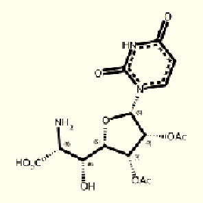 CC(=O)O[C@H]1[C@@H](OC(C)=O)[C@@H](n2ccc(=O)[nH]c2=O)O[C@H]1[C@H](O)[C@@H](N)C(=O)O